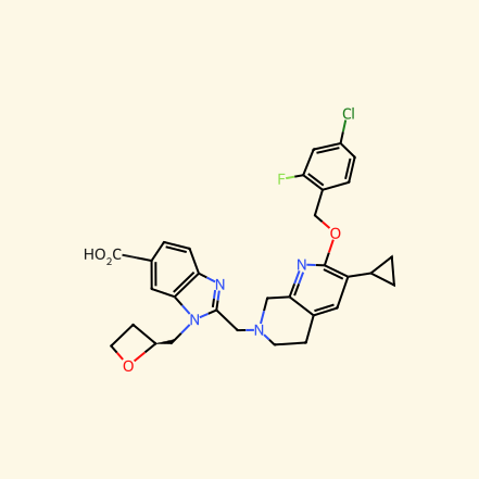 O=C(O)c1ccc2nc(CN3CCc4cc(C5CC5)c(OCc5ccc(Cl)cc5F)nc4C3)n(C[C@@H]3CCO3)c2c1